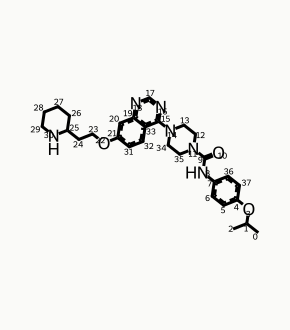 CC(C)Oc1ccc(NC(=O)N2CCN(c3ncnc4cc(OCCC5CCCCN5)ccc34)CC2)cc1